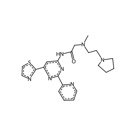 CN(CCN1CCCC1)CC(=O)Nc1cc(-c2nccs2)nc(-c2ccccn2)n1